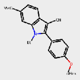 CCCCCCOc1ccc(-c2c(C#N)c3ccc(OC)cc3n2CC)cc1